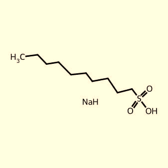 CCCCCCCCCCS(=O)(=O)O.[NaH]